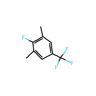 Cc1cc(C(F)(F)F)cc(C)c1F